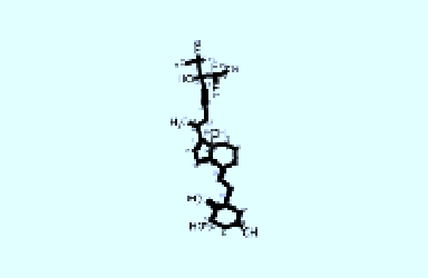 C=C1/C(=C\C=C2/CCC[C@]3(C)C(C(C)CC#CC(O)(C(F)(F)F)C(F)(F)F)=CCC23)CC(O)C[C@@H]1O